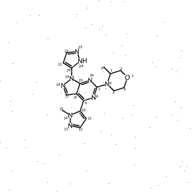 CC1COCCN1c1nc(-c2ccnn2C)c2cnn(-c3ccn[nH]3)c2n1